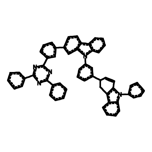 C1=CC(c2cccc(-n3c4ccccc4c4ccc(-c5cccc(-c6nc(-c7ccccc7)nc(-c7ccccc7)n6)c5)cc43)c2)Cc2c1n(-c1ccccc1)c1ccccc21